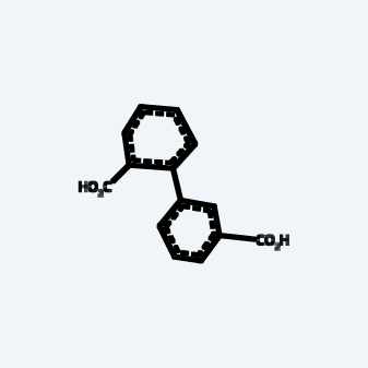 O=C(O)c1cccc(-c2ccccc2C(=O)O)c1